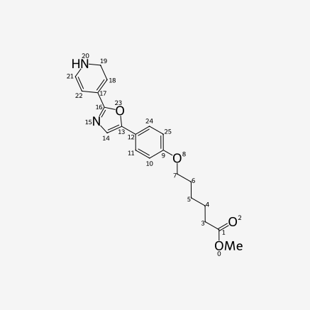 COC(=O)CCCCCOc1ccc(-c2cnc(C3=CCNC=C3)o2)cc1